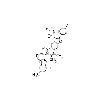 CNC(=O)c1c(-c2ccc(F)cc2)oc2cc(N(C)SC)c(-c3ccc4ncn5c6cc(C)cc(F)c6cc5c4n3)cc12